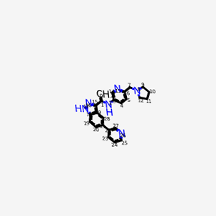 C=C(Nc1ccc(CN2CCCC2)nc1)c1n[nH]c2ccc(-c3cccnc3)cc12